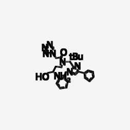 CC(C)(C)[C@H](c1nc(-c2ccccc2)cn1Cc1ccccc1)N(CC[C@H](N)CO)C(=O)Cn1cnnn1